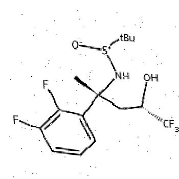 CC(C)(C)[S+]([O-])N[C@](C)(C[C@H](O)C(F)(F)F)c1cccc(F)c1F